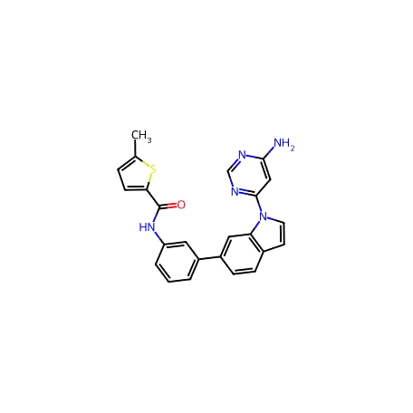 Cc1ccc(C(=O)Nc2cccc(-c3ccc4ccn(-c5cc(N)ncn5)c4c3)c2)s1